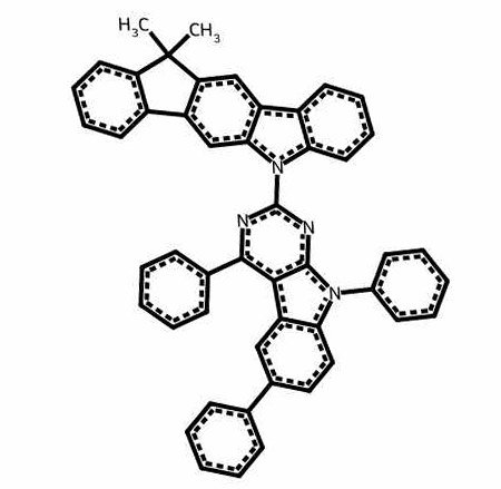 CC1(C)c2ccccc2-c2cc3c(cc21)c1ccccc1n3-c1nc(-c2ccccc2)c2c3cc(-c4ccccc4)ccc3n(-c3ccccc3)c2n1